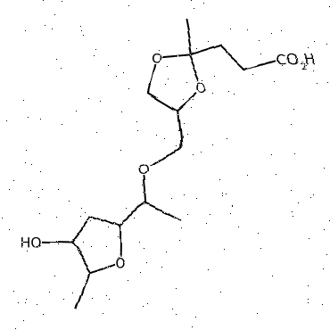 CC1OC(C(C)OCC2COC(C)(CCC(=O)O)O2)CC1O